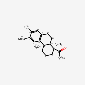 COC(=O)[C@@]1(C)CCC[C@@]2(C)c3cc(OC)c(C(F)(F)F)cc3CCC21